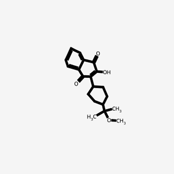 COC(C)(C)C1CCC(C2=C(O)C(=O)c3ccccc3C2=O)CC1